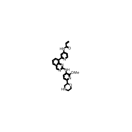 C=CC(=O)Nc1ccnc(-c2cccc3cnc(Nc4ccc(C5CNCCO5)nc4OC)nc23)c1